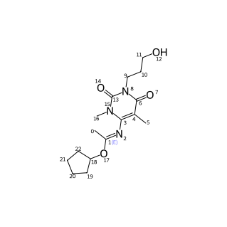 C/C(=N\c1c(C)c(=O)n(CCCO)c(=O)n1C)OC1CCCC1